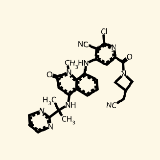 Cn1c(=O)cc(NC(C)(C)c2ncccn2)c2cccc(Nc3cc(C(=O)N4CC(CC#N)C4)nc(Cl)c3C#N)c21